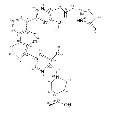 COc1nc(-c2cccc(-c3cccc(-c4cnc(CN5CCC([C@H](C)O)CC5)c(OC)n4)c3Cl)c2Cl)cnc1CNC[C@@H]1CCC(=O)N1